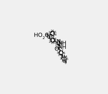 CN1CCN(c2ccc(C(=O)Nc3cc(-c4ccc(CN(C(=O)O)c5ccccc5)cc4)n[nH]3)cc2)CC1